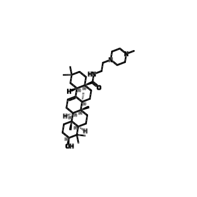 CN1CCN(CCNC(=O)[C@]23CCC(C)(C)C[C@H]2C2=CC[C@@H]4[C@@]5(C)CC[C@H](O)C(C)(C)[C@@H]5CC[C@@]4(C)[C@]2(C)CC3)CC1